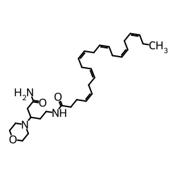 CC/C=C\C/C=C\C/C=C\C/C=C\C/C=C\C/C=C\CCC(=O)NCCC(CC(N)=O)N1CCOCC1